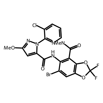 CNC(=O)c1c(NC(=O)c2cc(OC)nn2-c2ncccc2Cl)c(Br)cc2c1OC(F)(F)O2